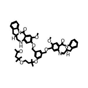 COc1cc2c(cc1OCc1cc(COc3cc4c(cc3OC)C(=O)N3c5ccccc5C[C@H]3CN4)cc(OC(C)(C)CCOC(C)(C)CC(C)=O)c1)N=C[C@@H]1Cc3ccccc3N1C2=O